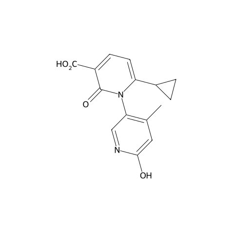 Cc1cc(O)ncc1-n1c(C2CC2)ccc(C(=O)O)c1=O